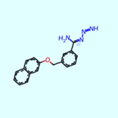 N=N/N=C(\N)c1cccc(COc2ccc3ccccc3c2)c1